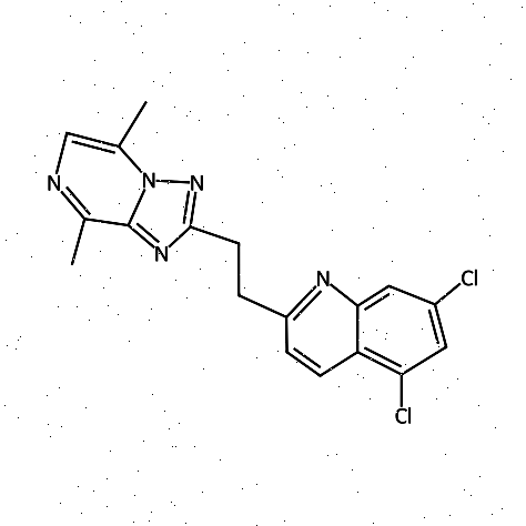 Cc1ncc(C)n2nc(CCc3ccc4c(Cl)cc(Cl)cc4n3)nc12